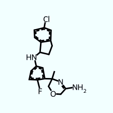 CC1(c2cc(NC3CCc4cc(Cl)ccc43)ccc2F)COCC(N)=N1